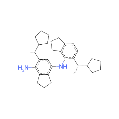 C[C@H](c1ccc2c(c1Nc1cc([C@H](C)C3CCCC3)c(N)c3c1CCC3)CCC2)C1CCCC1